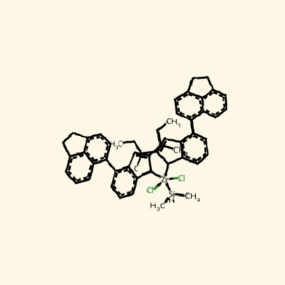 CCC(C)C1=Cc2c(-c3ccc4c5c(cccc35)CC4)cccc2[CH]1[Zr]([Cl])([Cl])([CH]1C(C(C)CC)=Cc2c(-c3ccc4c5c(cccc35)CC4)cccc21)[SiH](C)C